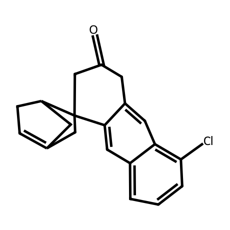 O=C1Cc2cc3c(Cl)cccc3cc2C2(C1)CC1=CCC2C1